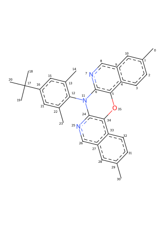 Cc1ccc2c3c(ncc2c1)N(c1c(C)cc(C(C)(C)C)cc1C)c1ncc2cc(C)ccc2c1O3